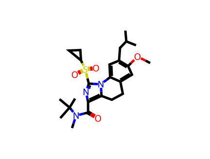 COc1cc2c(cc1CC(C)C)-n1c(S(=O)(=O)C3CC3)nc(C(=O)N(C)C(C)(C)C)c1CC2